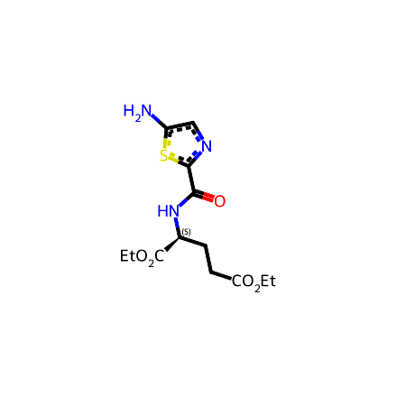 CCOC(=O)CC[C@H](NC(=O)c1ncc(N)s1)C(=O)OCC